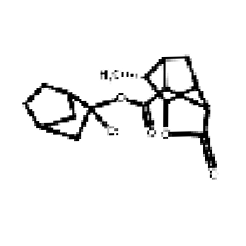 CCC1(OC(=O)C2C3C(=O)OC4C3CC2[C@H]4C)CC2CCC1C2